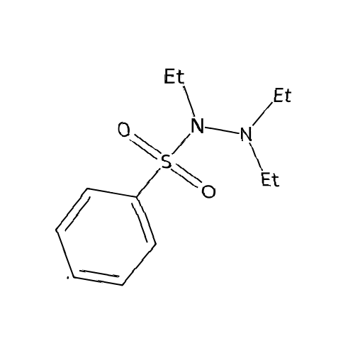 CCN(CC)N(CC)S(=O)(=O)c1cc[c]cc1